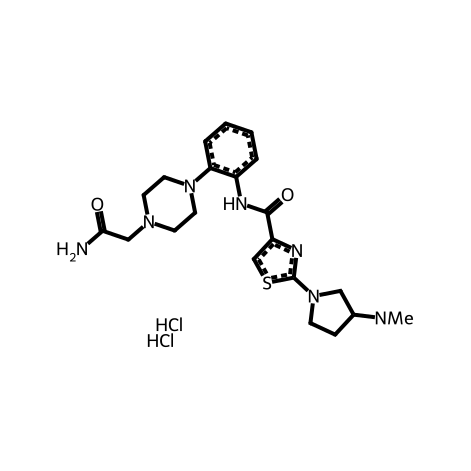 CNC1CCN(c2nc(C(=O)Nc3ccccc3N3CCN(CC(N)=O)CC3)cs2)C1.Cl.Cl